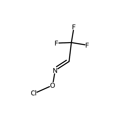 FC(F)(F)C=NOCl